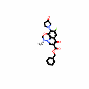 CN1COc2c(N3CCC(=O)C3)c(F)cc3c(=O)c(C(=O)OCc4ccccc4)cn1c23